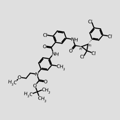 COCCN(C(=O)OC(C)(C)C)c1ccc(NC(=O)c2cc(NC(=O)[C@H]3[C@H](c4cc(Cl)cc(Cl)c4)C3(Cl)Cl)ccc2Cl)c(C)c1